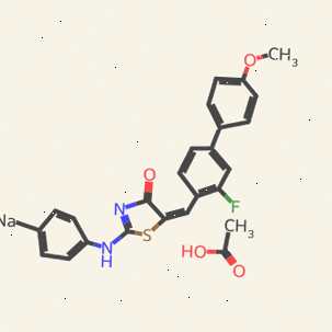 CC(=O)O.COc1ccc(-c2ccc(C=C3SC(Nc4cc[c]([Na])cc4)=NC3=O)c(F)c2)cc1